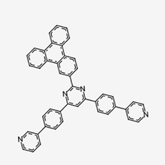 c1cncc(-c2ccc(-c3cc(-c4ccc(-c5ccncc5)cc4)nc(-c4ccc5c6ccccc6c6ccccc6c5c4)n3)cc2)c1